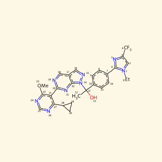 CCn1cc(C(F)(F)F)nc1-c1ccc(C(C)(O)n2ncc3cnc(-c4c(OC)ncnc4C4CC4)nc32)cc1